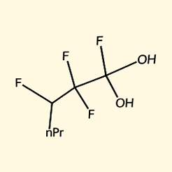 CCCC(F)C(F)(F)C(O)(O)F